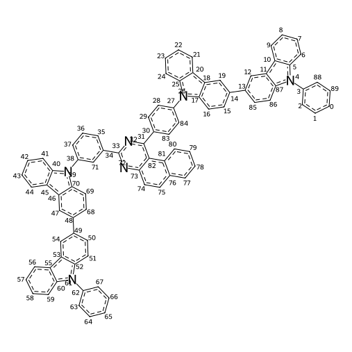 c1ccc(-n2c3ccccc3c3cc(-c4ccc5c(c4)c4ccccc4n5-c4ccc(-c5nc(-c6cccc(-n7c8ccccc8c8cc(-c9ccc%10c(c9)c9ccccc9n%10-c9ccccc9)ccc87)c6)nc6ccc7ccccc7c56)cc4)ccc32)cc1